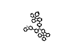 c1ccc(C2(c3ccccc3)c3ccccc3-c3ccc(N(c4ccc(-c5cccc6c5-c5ccccc5C6(c5ccccc5)c5ccccc5)cc4)c4cccc(-c5ccc6sc7ccccc7c6c5)c4)cc32)cc1